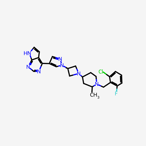 CC1CC(N2C[C](n3cc(-c4ncnc5[nH]ccc45)cn3)C2)CCN1Cc1c(F)cccc1Cl